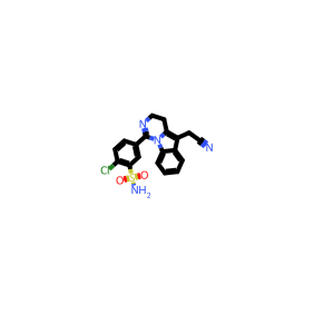 N#CCc1c2n(c3ccccc13)C(c1ccc(Cl)c(S(N)(=O)=O)c1)=NCC2